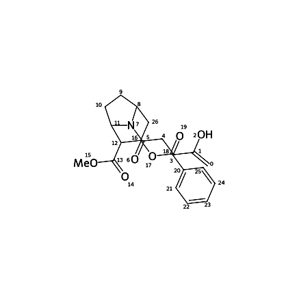 C=C(O)CCC(=O)N1C2CCC1C(C(=O)OC)C(OC(=O)c1ccccc1)C2